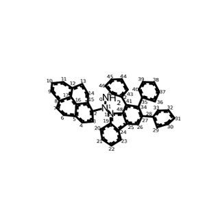 NN(c1ccc2ccc3cccc4ccc1c2c34)n1c2ccccc2c2cc(-c3ccccc3)c(-c3ccccc3)c(-c3ccccc3)c21